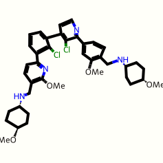 COc1cc(-c2nccc(-c3cccc(-c4ccc(CN[C@H]5CC[C@H](OC)CC5)c(OC)n4)c3Cl)c2Cl)ccc1CN[C@H]1CC[C@@H](OC)CC1